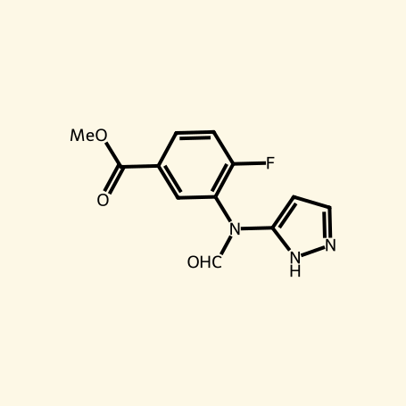 COC(=O)c1ccc(F)c(N(C=O)c2ccn[nH]2)c1